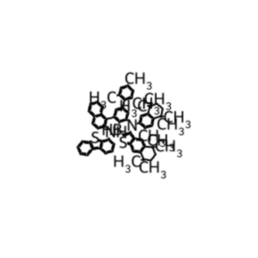 Cc1cc(C)c(-c2cc(-c3c(Nc4cccc5c4sc4ccccc45)ccc4ccccc34)c3c(c2)N(c2cc4c(cc2C)C(C)(C)CCC4(C)C)c2c(sc4cc5c(cc24)C(C)(C)CCC5(C)C)B3)c(C)c1